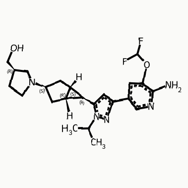 CC(C)n1nc(-c2cnc(N)c(OC(F)F)c2)cc1[C@H]1[C@@H]2C[C@@H](N3CC[C@@H](CO)C3)C[C@@H]21